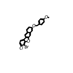 COc1ccc(COc2ccc3cc4c(cc3c2)oc2c(Br)c(Cl)ccc24)cc1